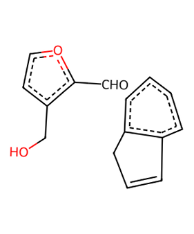 C1=Cc2ccccc2C1.O=Cc1occc1CO